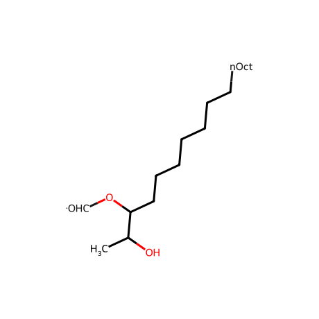 CCCCCCCCCCCCCCCC(O[C]=O)C(C)O